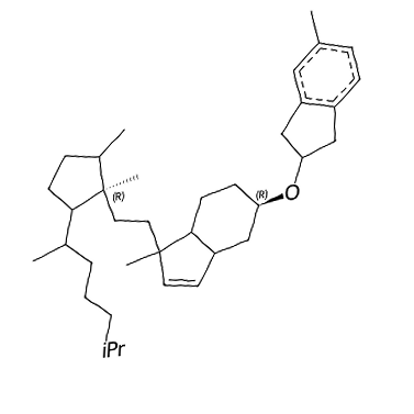 Cc1ccc2c(c1)CC(O[C@@H]1CCC3C(C=CC3(C)CC[C@]3(C)C(C)CCC3C(C)CCCC(C)C)C1)C2